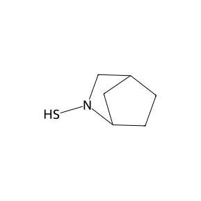 SN1CC2CCC1C2